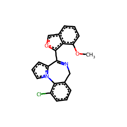 COc1cccc2coc(C3=NCc4cccc(Cl)c4-n4cccc43)c12